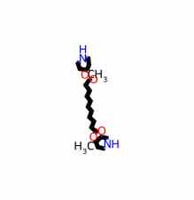 CC1(OC(=O)CCCCCCCCCC(=O)OC2(C)CCNCC2)CCNCC1